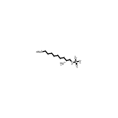 CCCCCCCCCCCCCCCCCCOP(=O)([O-])[O-].[Hg+2]